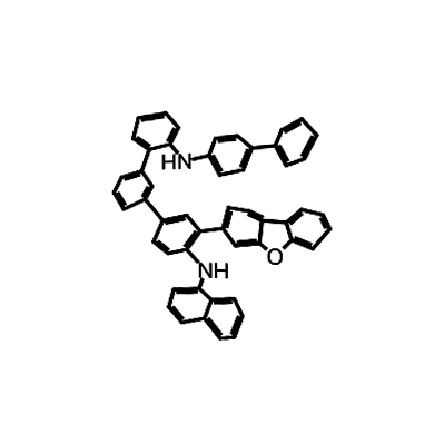 c1ccc(-c2ccc(Nc3ccccc3-c3cccc(-c4ccc(Nc5cccc6ccccc56)c(-c5ccc6c(c5)oc5ccccc56)c4)c3)cc2)cc1